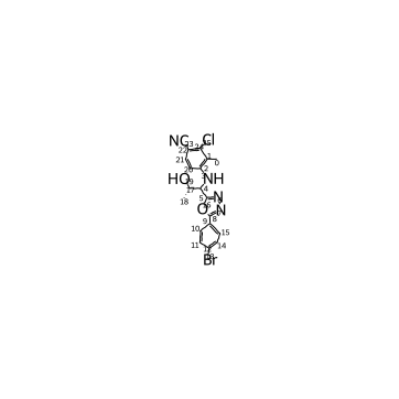 Cc1c(NC(c2nnc(-c3ccc(Br)cc3)o2)[C@H](C)O)ccc(C#N)c1Cl